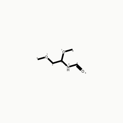 COCC(NC=O)OC